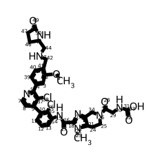 COc1cc(-c2nccc(-c3cccc(NC(=O)c4nc5c(n4C)CCN(C(=O)CNC(=O)O)C5)c3Cl)c2Cl)ccc1CNCC1CCC(=O)N1